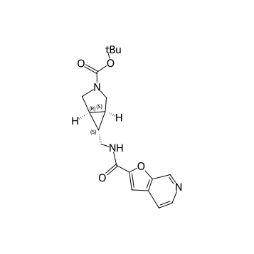 CC(C)(C)OC(=O)N1C[C@@H]2[C@@H](CNC(=O)c3cc4ccncc4o3)[C@@H]2C1